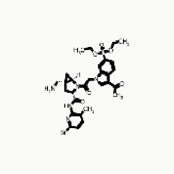 CCOP(=O)(OCC)c1ccc2c(C(C)=O)cn(CC(=O)N3[C@H](C(=O)Nc4nc(Br)ccc4C)C[C@@]4(CN)C[C@@H]34)c2c1